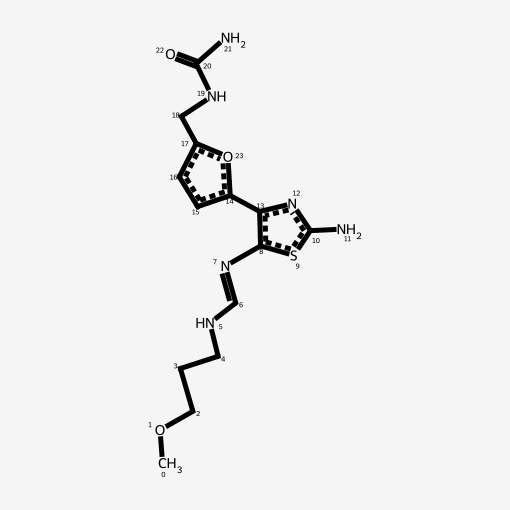 COCCCNC=Nc1sc(N)nc1-c1ccc(CNC(N)=O)o1